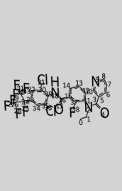 CCN(C(=O)c1cccnc1)c1cccc(C(=O)Nc2c(Cl)cc(C(F)(C(F)(F)F)C(F)(F)F)cc2Cl)c1F